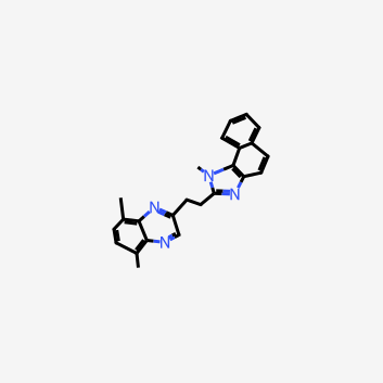 Cc1ccc(C)c2nc(CCc3nc4ccc5ccccc5c4n3C)cnc12